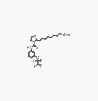 CCCCCCCCCCCCCCCCCCC1SCCN1C(=S)Nc1cccc(OC(F)(F)C(F)F)c1